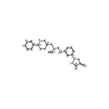 O=C1CC(c2cccc(OCC(O)CN3CCN(c4ccccc4)CC3)c2)CN1